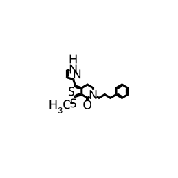 CSc1sc(-c2cc[nH]n2)c2c1C(=O)N(CCCc1ccccc1)CC2